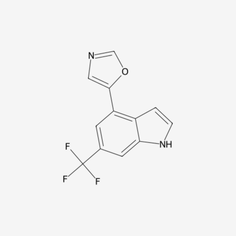 FC(F)(F)c1cc(-c2cnco2)c2cc[nH]c2c1